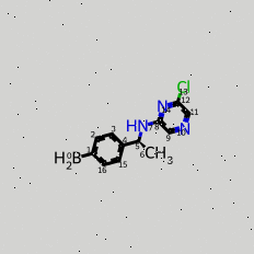 Bc1ccc([C@H](C)Nc2cncc(Cl)n2)cc1